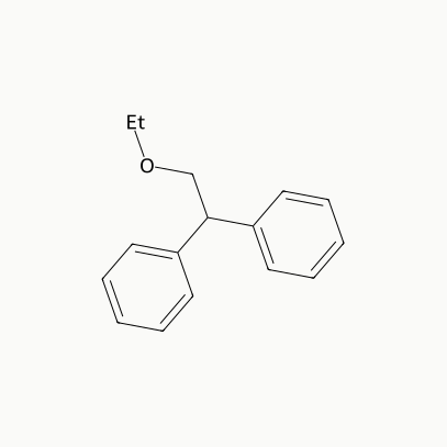 [CH2]COCC(c1ccccc1)c1ccccc1